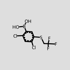 OB(O)c1cc(SCC(F)(F)F)c(Cl)cc1Cl